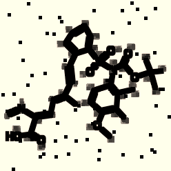 C=N/C(=C\C=C(/C)C#Cc1ccccc1S(=O)(=O)N(C(=O)OC(C)(C)C)c1ccc(OC)c(C)c1C)C(=O)O